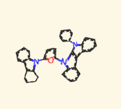 C1=Cc2c(n(-c3ccc(-n4c5ccccc5c5c6ccccc6n(-c6ccccc6)c54)o3)c3ccccc23)CC1